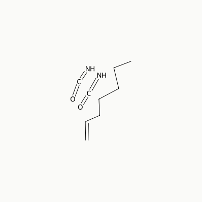 C=CCCCCC.N=C=O.N=C=O